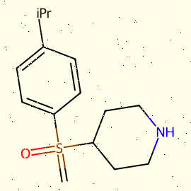 C=S(=O)(c1ccc(C(C)C)cc1)C1CCNCC1